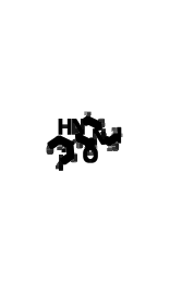 CCC(CI)[C@@H]1NCCN(CI)C1=O